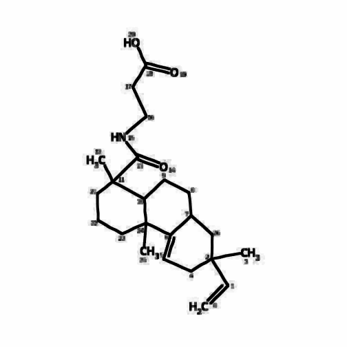 C=CC1(C)CC=C2C(CCC3C(C)(C(=O)NCCC(=O)O)CCCC23C)C1